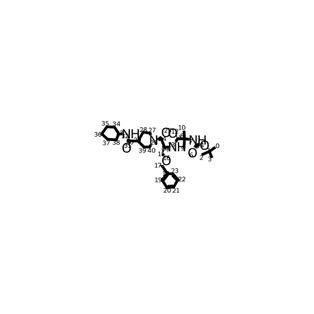 CC(C)(C)OC(=O)NC(C)(C)C(=O)N[C@H](COCc1ccccc1)C(=O)N1CCC(C(=O)NC2CCCCC2)CC1